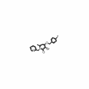 Cc1cc(OCc2ccc(F)cc2)c(Br)c(=O)n1Cc1ccccn1